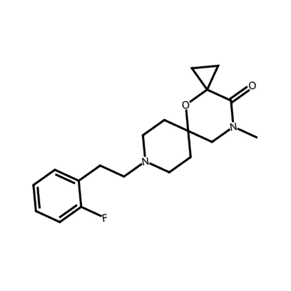 CN1CC2(CCN(CCc3ccccc3F)CC2)OC2(CC2)C1=O